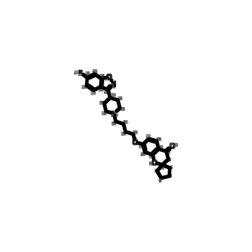 O=C1CC2(CCCC2)Oc2cc(OCCCCN3CCC(c4noc5cc(F)ccc45)CC3)ccc21